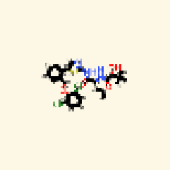 CCC[C@H](NC(=O)C(O)C(C)(C)C)C(=O)Nc1ncc(-c2ccccc2COc2c(Cl)cccc2Cl)s1